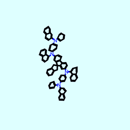 c1ccc(N(c2ccc(N(c3ccc4c(c3)C3(Cc5ccccc5C3)c3cc(N(c5ccc(N(c6ccccc6)c6ccc7ccccc7c6)cc5)c5cccc6ccccc56)ccc3-4)c3cccc4ccccc34)cc2)c2ccc3ccccc3c2)cc1